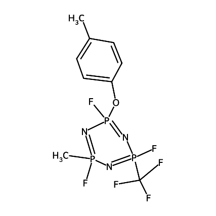 Cc1ccc(OP2(F)=NP(F)(C(F)(F)F)=NP(C)(F)=N2)cc1